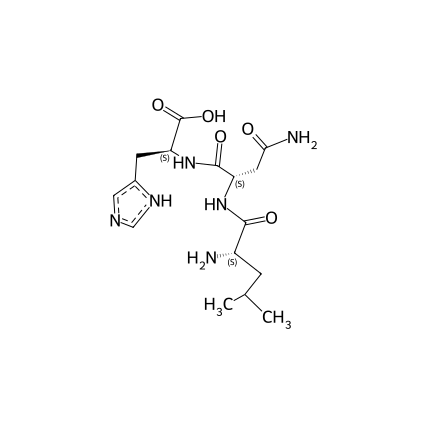 CC(C)C[C@H](N)C(=O)N[C@@H](CC(N)=O)C(=O)N[C@@H](Cc1cnc[nH]1)C(=O)O